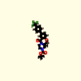 CC(C)(C)OC(=O)N1CCN2C(=O)c3cc(-c4ccc(C(F)(F)F)cc4)ccc3OC[C@H]2C1